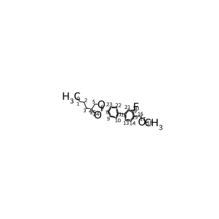 CCCC[C@H]1CO[C@H](c2ccc(-c3ccc(COC)c(F)c3)cc2)OC1